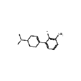 CN(C)C1CC=C(c2cccc(N)c2F)CC1